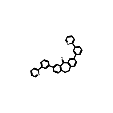 O=C1c2cc(-c3cccc(-c4ccccn4)c3)ccc2CCc2ccc(-c3cccc(-c4ccccn4)c3)cc21